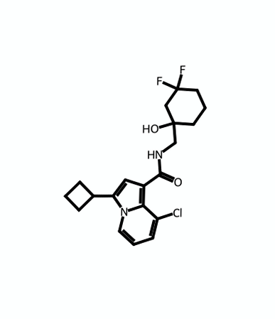 O=C(NCC1(O)CCCC(F)(F)C1)c1cc(C2CCC2)n2cccc(Cl)c12